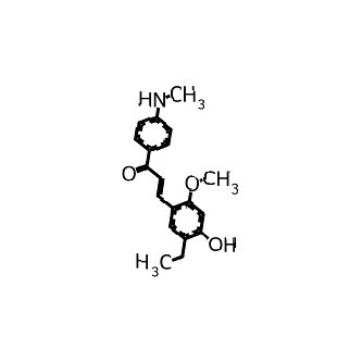 CCc1cc(/C=C/C(=O)c2ccc(NC)cc2)c(OC)cc1O